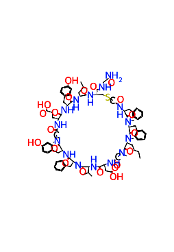 CCCC[C@H]1C(=O)N(C)CC(=O)N[C@@H](CC(=O)O)C(=O)N[C@@H](C(C)C)C(=O)N(C)[C@@H](Cc2ccccc2)C(=O)N[C@@H](Cc2ccc(O)cc2)C(=O)N(C)CC(=O)N[C@@H](CCC(=O)O)C(=O)N[C@@H](Cc2ccc(O)cc2)C(=O)N[C@@H](CC(C)C)C(=O)N[C@H](C(=O)NCC(N)=O)CSCC(=O)N[C@@H](Cc2ccccc2)C(=O)N(C)[C@@H](Cc2ccccc2)C(=O)N1C